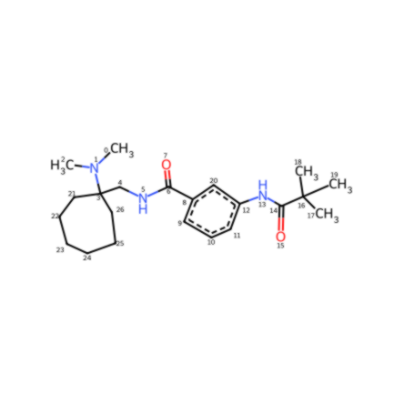 CN(C)C1(CNC(=O)c2cccc(NC(=O)C(C)(C)C)c2)CCCCCC1